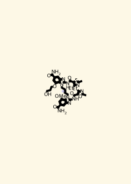 CCc1nc(C)oc1C(=O)Nc1nc2cc(C(N)=O)cc(OC)c2n1C/C=C/Cn1c(NC(=O)c2sc(C)nc2CC)nc2cc(C(N)=O)cc(OCCCO)c21